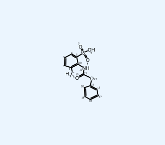 Cc1cccc(S(=O)(=O)O)c1NC(=O)Oc1ccccc1